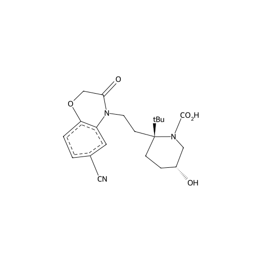 CC(C)(C)[C@]1(CCN2C(=O)COc3ccc(C#N)cc32)CC[C@@H](O)CN1C(=O)O